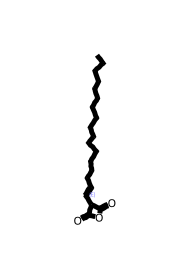 CCCCCCCCCCCCCCC/C=C/C1C(=O)OC1=O